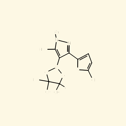 Cc1c(B2OC(C)(C)C(C)(C)O2)c(-c2ccc(Cl)s2)nn1C(C)C